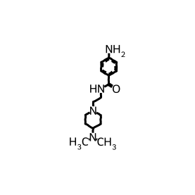 CN(C)C1CCN(CCNC(=O)c2ccc(N)cc2)CC1